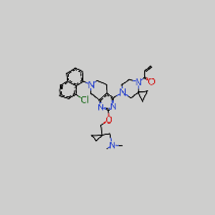 C=CC(=O)N1CCN(c2nc(OCC3(CN(C)C)CC3)nc3c2CCN(c2cccc4cccc(Cl)c24)C3)CC12CC2